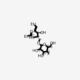 CC/C=C/[C@@H](O)[C@H](COC1OC(CO)C(C)C(O)C1O)NC(=O)CC